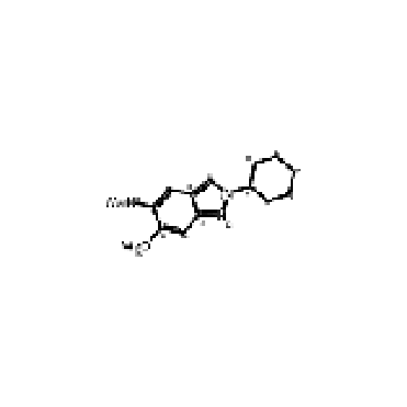 CNc1cc2cn(C3CCCCC3)nc2cc1OC